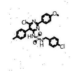 COc1ccc(-c2nc(Cl)c(-c3ccc(C)cc3)c(NS(=O)(=O)NCc3ccc(Cl)cc3)n2)cc1